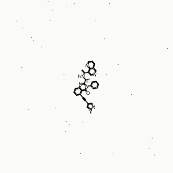 C=C(N[C@@H](C)c1nc2cccc(C#Cc3cnn(C)c3)c2c(=O)n1-c1ccccc1)c1cncc2cccnc12